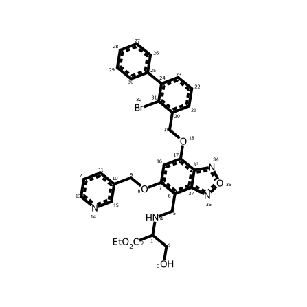 CCOC(=O)C(CO)NCc1c(OCc2cccnc2)cc(OCc2cccc(-c3ccccc3)c2Br)c2nonc12